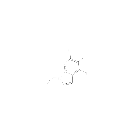 Fc1c(Cl)c(Cl)nc2c1ccn2SI